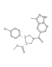 COC(=O)[C@H]1CN(C(=O)c2cnc3[nH]nc(C)c3c2)C[C@H]1c1ccc(Cl)cc1